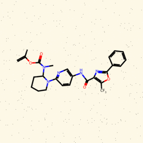 C=C(C)OC(=O)N(C)C1CCCCN1c1ccc(NC(=O)c2nc(-c3ccccc3)oc2C(F)(F)F)cn1